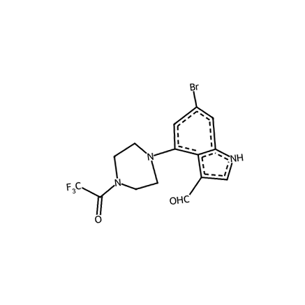 O=Cc1c[nH]c2cc(Br)cc(N3CCN(C(=O)C(F)(F)F)CC3)c12